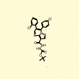 CC(C)(C)OC(=O)NNC(=O)c1cnn2c(-c3ccc(Cl)cc3)c(-c3ccccc3Cl)cnc12